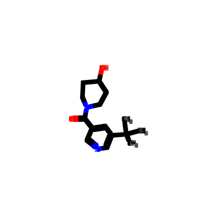 CC(C)(C)c1cncc(C(=O)N2CCC(O)CC2)c1